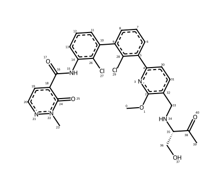 COc1nc(-c2cccc(-c3cccc(NC(=O)c4ccnn(C)c4=O)c3Cl)c2Cl)ccc1CN[C@@H](CO)C(C)=O